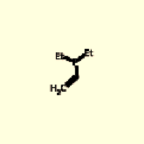 C=CP(CC)CC